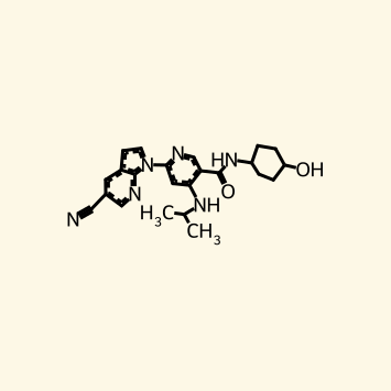 CC(C)Nc1cc(-n2ccc3cc(C#N)cnc32)ncc1C(=O)NC1CCC(O)CC1